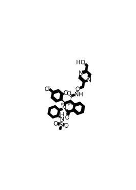 CS(=O)(=O)N[C@H]1CCCCC1N1C(=O)c2ccccc2[C@@H](C(=O)NOCc2cnc(CO)cn2)[C@@H]1c1ccc(Cl)cc1Cl